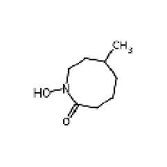 CC1CCCC(=O)N(O)CC1